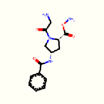 NCC(=O)N1C[C@@H](NC(=O)c2ccccc2)C[C@H]1C(=O)ON